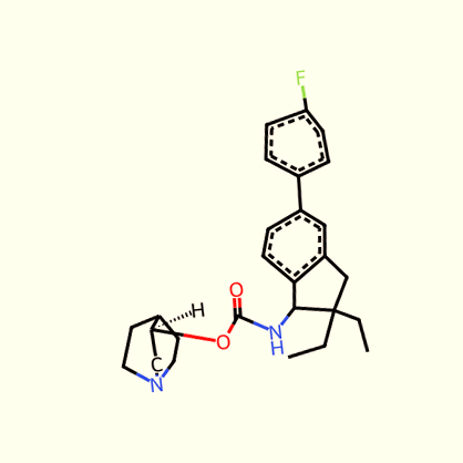 CCC1(CC)Cc2cc(-c3ccc(F)cc3)ccc2C1NC(=O)O[C@H]1CN2CCC1CC2